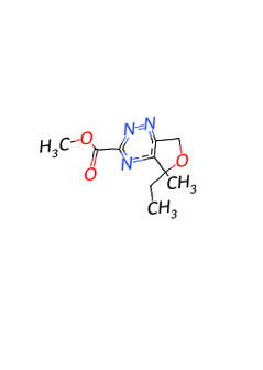 CCC1(C)OCc2nnc(C(=O)OC)nc21